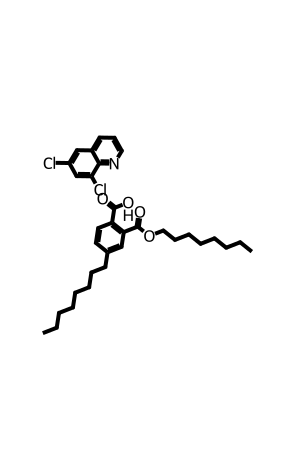 CCCCCCCCOC(=O)c1cc(CCCCCCCC)ccc1C(=O)O.Clc1cc(Cl)c2ncccc2c1